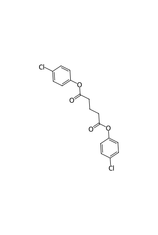 O=C(CCCC(=O)Oc1ccc(Cl)cc1)Oc1ccc(Cl)cc1